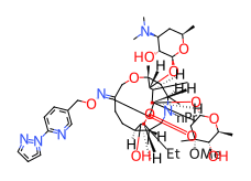 CCCN1C[C@H](C)[C@H]2CC/C(=N\OCc3ccc(-n4cccn4)nc3)CO[C@](C)(C[C@H]1C)[C@H](O[C@@H]1O[C@H](C)C[C@H](N(C)C)[C@H]1O)[C@@H](C)[C@H](O[C@H]1C[C@@](C)(OC)[C@@H](O)[C@H](C)O1)[C@@H](C)C(=O)O[C@H](CC)[C@@]2(C)O